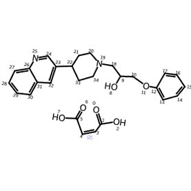 O=C(O)/C=C\C(=O)O.OC(COc1ccccc1)CN1CCC(c2cnc3ccccc3c2)CC1